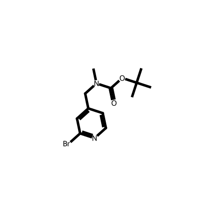 CN(Cc1ccnc(Br)c1)C(=O)OC(C)(C)C